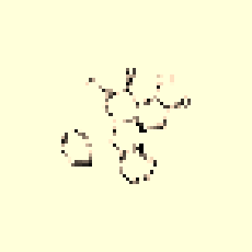 CC(C)N1C[C@H]([C@@H](c2ccccc2)c2ccccn2)n2ncc(=O)c(O)c2C1=O